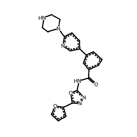 O=C(Nc1nnc(-c2ccco2)o1)c1cccc(-c2ccc(N3CCNCC3)nc2)c1